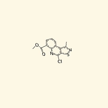 COC(=O)c1cccc2c1nc(Cl)c1snc(C)c12